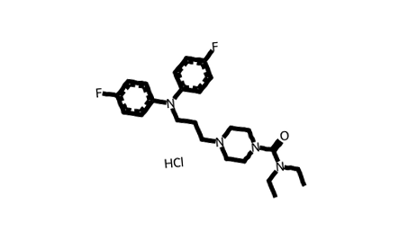 CCN(CC)C(=O)N1CCN(CCCN(c2ccc(F)cc2)c2ccc(F)cc2)CC1.Cl